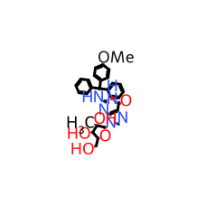 COc1ccc(C(Nc2nc3c(ncn3[C@@H]3OC(CO)[C@@H](O)[C@@]3(C)O)c(=O)[nH]2)(c2ccccc2)c2ccccc2)cc1